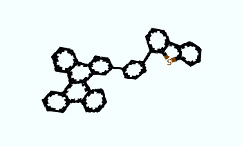 c1cc(-c2ccc3c4ccccc4c4c5ccccc5c5ccccc5c4c3c2)cc(-c2cccc3c2sc2ccccc23)c1